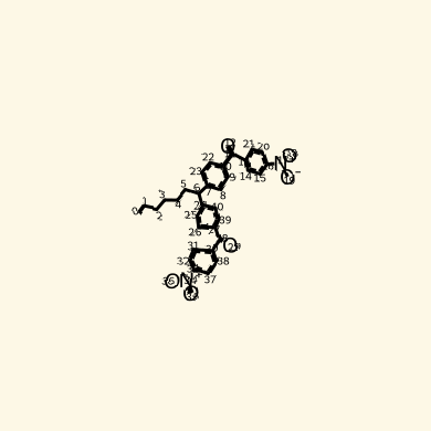 CCCCCCC(c1ccc(C(=O)c2ccc([N+](=O)[O-])cc2)cc1)c1ccc(C(=O)c2ccc([N+](=O)[O-])cc2)cc1